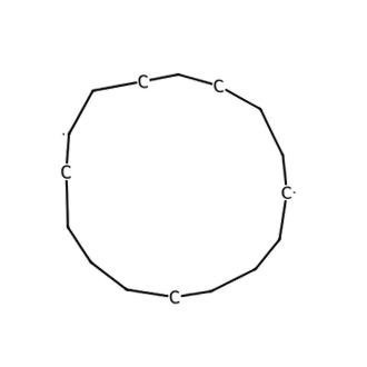 [CH]1CCCCCC[CH]CCCCCCCC1